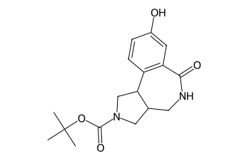 CC(C)(C)OC(=O)N1CC2CNC(=O)c3cc(O)ccc3C2C1